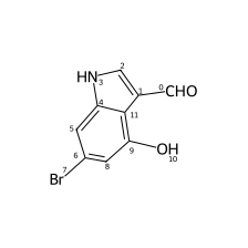 O=Cc1c[nH]c2cc(Br)cc(O)c12